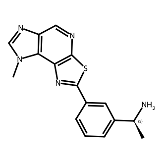 C[C@H](N)c1cccc(-c2nc3c(ncc4ncn(C)c43)s2)c1